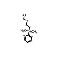 C[Si](C)(CCOCCl)c1ccccc1